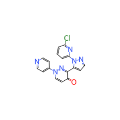 O=c1ccn(-c2ccncc2)nc1-c1ccnn1-c1cccc(Cl)n1